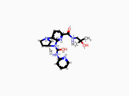 CC(C)(O)CNC(=O)c1ccc2c(n1)N(C(O)Nc1ccccn1)[C@H]1CCN2C1